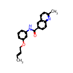 CC=CCOc1cccc(NC(=O)c2ccc3nc(C)ccc3c2)c1